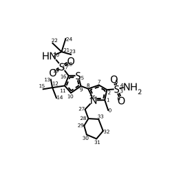 Cc1c(S(N)(=O)=O)cc(-c2cc(C(C)(C)C)c(S(=O)(=O)NC(C)(C)C)s2)n1CC1CCCCC1